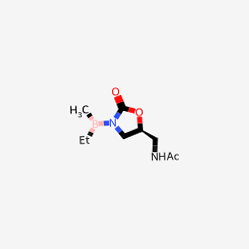 CCB(C)N1C[C@H](CNC(C)=O)OC1=O